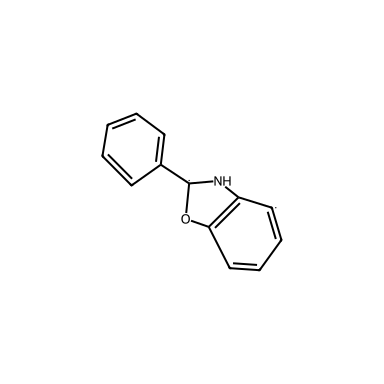 [c]1cccc2c1N[C](c1ccccc1)O2